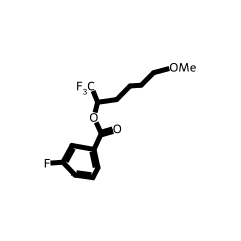 COCCCCC(OC(=O)c1cc[c]c(F)c1)C(F)(F)F